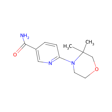 CC1(C)COCCN1c1ccc(C(N)=O)cn1